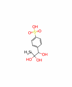 O=S(=O)(O)c1ccc(C(O)C(O)(O)[SiH3])cc1